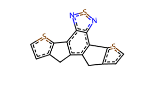 c1cc2c(s1)-c1c(c3c(c4nsnc14)-c1sccc1C3)C2